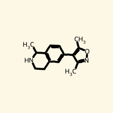 Cc1noc(C)c1-c1ccc2c(c1)CCNC2C